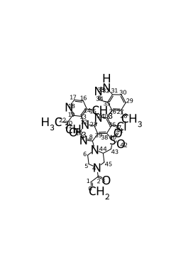 C=CC(=O)N1CCN2c3nc(=O)n(-c4c(C)ccnc4C(C)C)c4nc(-c5c(C)ccc6[nH]ncc56)c(Cl)c(c34)S(=O)(=O)CC2C1